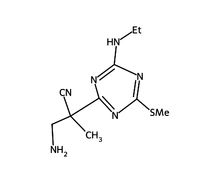 CCNc1nc(SC)nc(C(C)(C#N)CN)n1